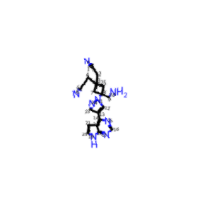 N#CCC1(CC#N)CC(CN)(n2cc(-c3ncnc4[nH]ccc34)cn2)C1